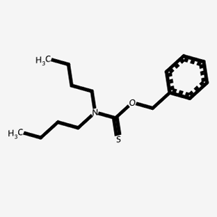 CCCCN(CCCC)C(=S)OCc1ccccc1